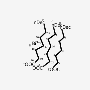 CCCCCCCCCCCCCCCC(=O)[O-].CCCCCCCCCCCCCCCC(=O)[O-].CCCCCCCCCCCCCCCC(=O)[O-].[Bi+3]